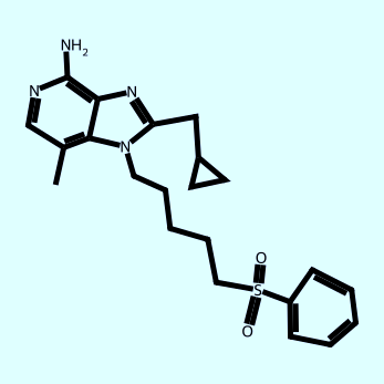 Cc1cnc(N)c2nc(CC3CC3)n(CCCCCS(=O)(=O)c3ccccc3)c12